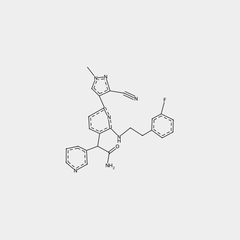 Cn1cc(-c2ccc(C(C(N)=O)c3cccnc3)c(NCCc3cccc(F)c3)n2)c(C#N)n1